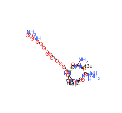 CC(C)(C)SC[C@@H]1NC(=O)[C@H](CC(=O)O)CC(=O)CNC(=O)[C@H](CCCNC(=N)N)CC(=O)[C@H](CSC(C)(C)C)NC(=O)[C@H](CCCCN)NC(=O)CSC[C@@H](C(=O)CCCOCCOCCOCCCC(=O)COCC(=O)CCCOCCOCCOCCNC(=O)COCC(N)=O)NC(=O)[C@H](Cc2ccccc2)CC1=O